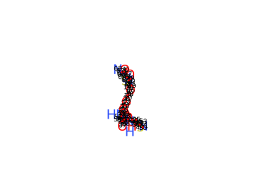 COc1cc(N2C(=O)C(C)(C)N(c3ccc(OCCCCCOCCCOCC(=O)N[C@H](C(=O)N4C[C@H](O)C[C@H]4C(=O)NCc4ccc(-c5scnc5C)cc4)C(C)(C)C)cc3)C2=S)ccc1C#N